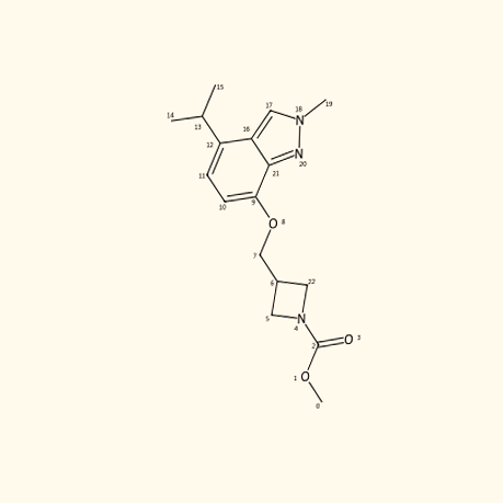 COC(=O)N1CC(COc2ccc(C(C)C)c3cn(C)nc23)C1